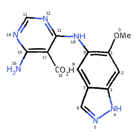 COc1cc2[nH]ncc2cc1Nc1ncnc(N)c1C(=O)O